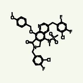 COc1ccc(COc2c3c(c(N(C)S(C)(=O)=O)c4cc(Cc5cc(Cl)c(F)cc5F)cnc24)CN(Cc2ccc(F)c(Cl)c2)C3=O)cc1